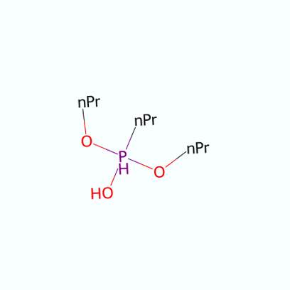 CCCO[PH](O)(CCC)OCCC